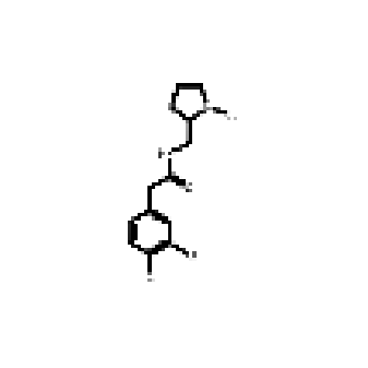 CCN1CCCC1CNC(=O)Cc1ccc(Cl)c(Cl)c1